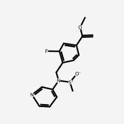 C=C(OC)c1ccc(CN(c2cccnc2)[S+](C)[O-])c(F)c1